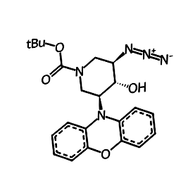 CC(C)(C)OC(=O)N1C[C@@H](N=[N+]=[N-])[C@H](O)[C@@H](N2c3ccccc3Oc3ccccc32)C1